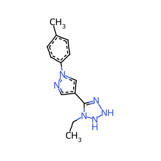 CCN1NNN=C1c1cnn(-c2ccc(C)cc2)c1